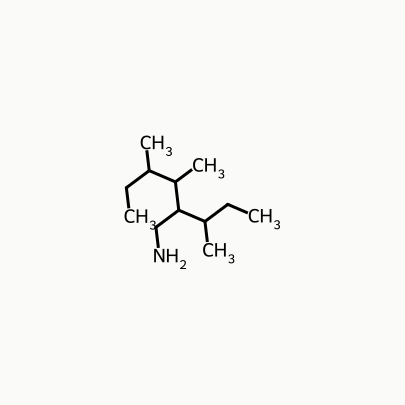 CCC(C)C(C)C(CN)C(C)CC